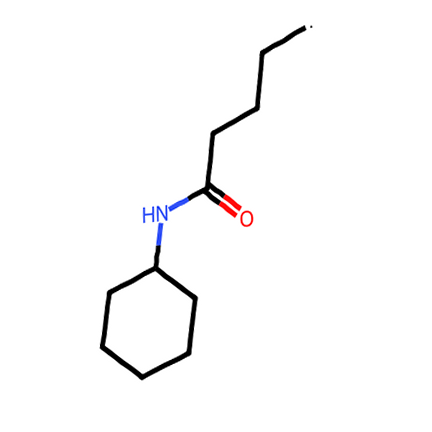 [CH2]CCCC(=O)NC1CCCCC1